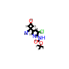 CC(C)(C)OC(=O)Nc1ncc(C2(C#N)CC(=O)C2)cc1Cl